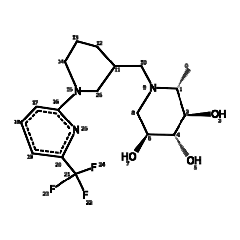 C[C@@H]1[C@@H](O)[C@H](O)[C@@H](O)CN1CC1CCCN(c2cccc(C(F)(F)F)n2)C1